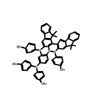 CC(C)(C)c1ccc(N2B3c4ccc(N(c5ccc(C(C)(C)C)cc5)c5ccc(C(C)(C)C)cc5)cc4N(c4ccc(C(C)(C)C)cc4)c4cc5c(c(c43)-c3cc4c(cc32)C(C)(C)c2ccccc2-4)C(C)(C)c2ccccc2-5)cc1